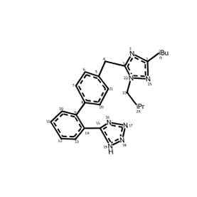 CCC(C)c1nc(Cc2ccc(-c3ccccc3-c3nnn[nH]3)cc2)n(CC(C)C)n1